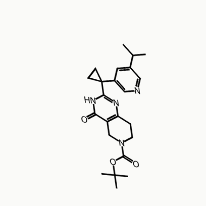 CC(C)c1cncc(C2(c3nc4c(c(=O)[nH]3)CN(C(=O)OC(C)(C)C)CC4)CC2)c1